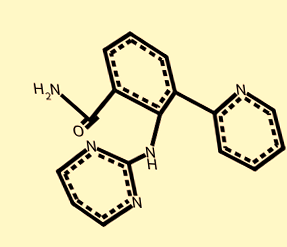 NC(=O)c1cccc(-c2ccccn2)c1Nc1ncccn1